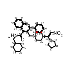 C[C@H](NC(=O)c1c(CN2CCN(C(=C[N+](=O)[O-])N3CCCC3)CC2)c(-c2ccccc2)nc2ccccc12)C1CCCCC1